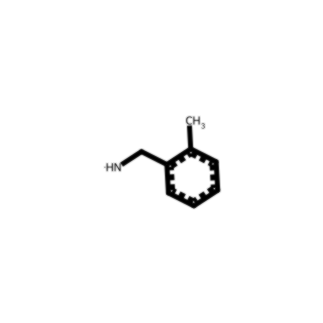 Cc1ccccc1C[NH]